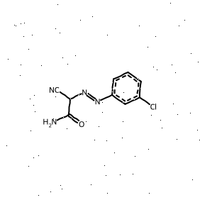 N#CC(N=Nc1cccc(Cl)c1)C(N)=O